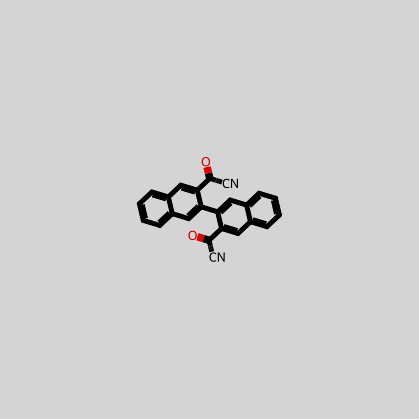 N#CC(=O)c1cc2ccccc2cc1-c1cc2ccccc2cc1C(=O)C#N